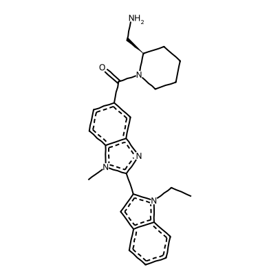 CCn1c(-c2nc3cc(C(=O)N4CCCC[C@@H]4CN)ccc3n2C)cc2ccccc21